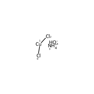 [Cl][Cu][Cl].[NH4+].[OH-]